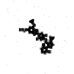 O=C(O)c1cc(OC2CC2)c2nc(N3C[C@@H]4C[C@H]3C[C@H]4OCc3c(C4CC4)cnn3-c3c(Cl)cccc3Cl)sc2c1